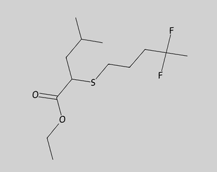 CCOC(=O)C(CC(C)C)SCCCC(C)(F)F